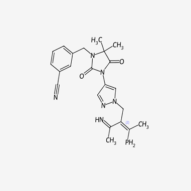 CC(=N)/C(Cn1cc(N2C(=O)N(Cc3cccc(C#N)c3)C(C)(C)C2=O)cn1)=C(/C)P